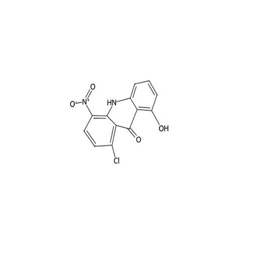 O=c1c2c(O)cccc2[nH]c2c([N+](=O)[O-])ccc(Cl)c12